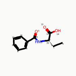 CC[C@H](NC(=O)c1ccccc1)C(=O)O